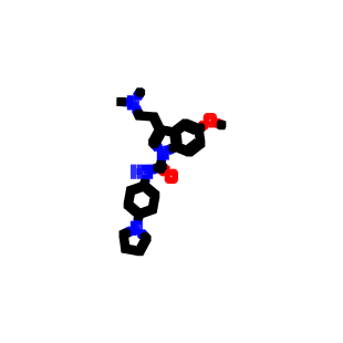 COc1ccc2c(c1)c(CCN(C)C)cn2C(=O)NC1CCC(N2CCCC2)CC1